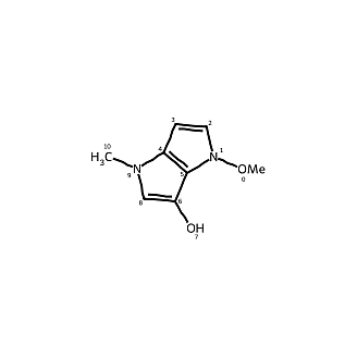 COn1ccc2c1c(O)cn2C